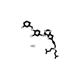 CC(C)CCN(CC#Cc1cc2ncnc(Nc3ccc(OCc4cccc(F)c4)c(Cl)c3)c2s1)CCC(C)C.Cl